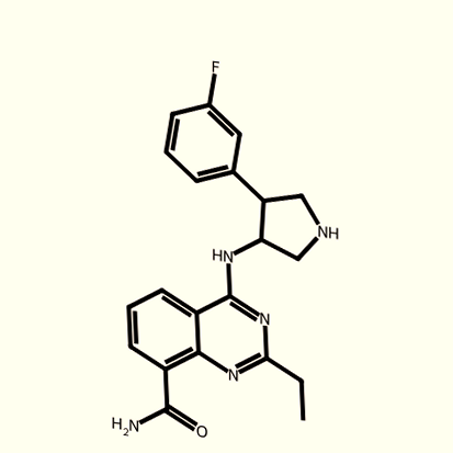 CCc1nc(NC2CNCC2c2cccc(F)c2)c2cccc(C(N)=O)c2n1